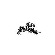 CC(C)(C)c1ccc(C(Cc2ccc(C(=O)NCCS(=O)(=O)O)cc2)C(=O)Nc2cccc(-c3cc4c(o3)CCC=C4)c2)cc1